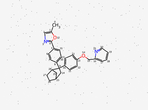 Cc1cnc(-c2ccc(C3(c4ccc(OCc5ccccn5)cc4)CC4CCC3C4)cc2)o1